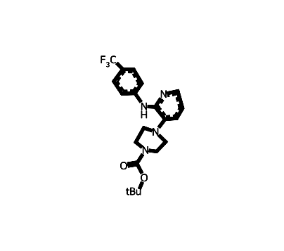 CC(C)(C)OC(=O)N1CCN(c2cccnc2Nc2ccc(C(F)(F)F)cc2)CC1